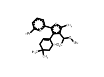 CCCc1cccc(-c2sc(C)c(C(OC(C)(C)C)C(=O)O)c2C2=CCC(C)(C)CC2)n1